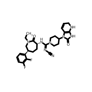 CCN1C[C@H](c2cccc(F)c2F)CC[C@@H](N/C(=N/C#N)N2CCC(n3c4c([nH]c3=O)NCC=C4)CC2)C1=O